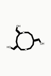 OC=C1CCCCC(=CO)CCC(=CO)CCC1